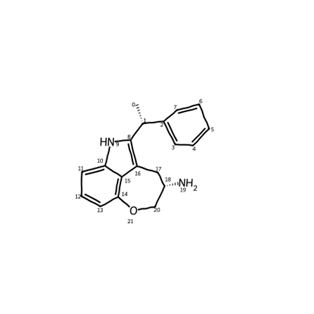 C[C@H](c1ccccc1)c1[nH]c2cccc3c2c1C[C@H](N)CO3